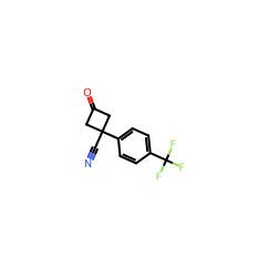 N#CC1(c2ccc(C(F)(F)F)cc2)CC(=O)C1